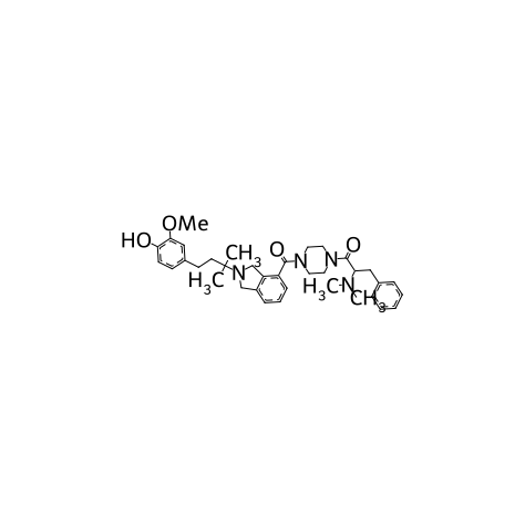 COc1cc(CCC(C)(C)N2Cc3cccc(C(=O)N4CCN(C(=O)C(Cc5ccccc5)N(C)C)CC4)c3C2)ccc1O